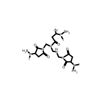 BP(I)C(CC(=O)N(CNCN1C(=O)CC(B(P)I)C1=O)CN1C(=O)CC(P(B)I)C1=O)C(C)=O